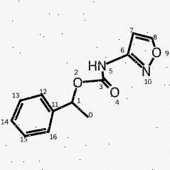 CC(OC(=O)Nc1ccon1)c1ccccc1